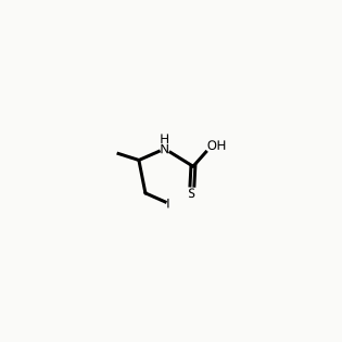 CC(CI)NC(O)=S